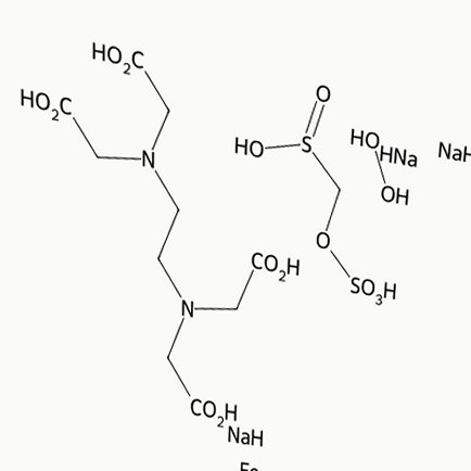 O=C(O)CN(CCN(CC(=O)O)CC(=O)O)CC(=O)O.O=S(O)COS(=O)(=O)O.OO.[Fe].[NaH].[NaH].[NaH]